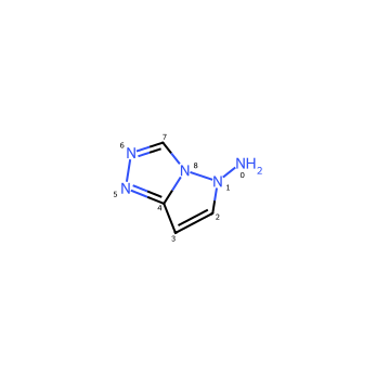 Nn1ccc2nncn21